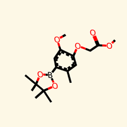 COC(=O)COc1cc(C)c(B2OC(C)(C)C(C)(C)O2)cc1OC